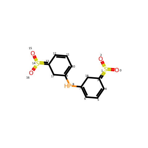 O=S(=O)=C1C=CC=C(PC2=CC=CC(=S(=O)=O)C2)C1